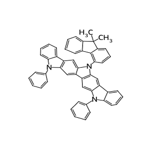 CC1(C)c2ccccc2-c2c(-n3c4cc5c6ccccc6n(-c6ccccc6)c5cc4c4cc5c(cc43)c3ccccc3n5-c3ccccc3)cccc21